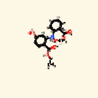 CCOC(=O)c1ccc(O)cc1N(OC)c1ccccc1C(=O)O